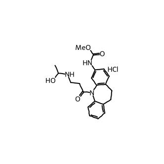 COC(=O)Nc1ccc2c(c1)N(C(=O)CCNC(C)O)c1ccccc1CC2.Cl